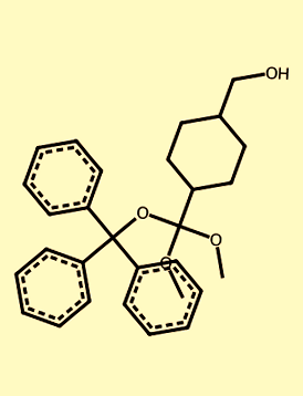 COC(OC)(OC(c1ccccc1)(c1ccccc1)c1ccccc1)C1CCC(CO)CC1